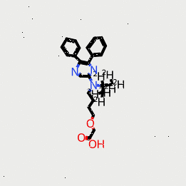 [2H]C([2H])([2H])C([2H])(N(CCCCOCC(=O)O)c1cnc(-c2ccccc2)c(-c2ccccc2)n1)C([2H])([2H])[2H]